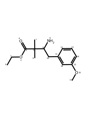 CCOC(=O)C(C)(C)C(N)Cc1cccc(OC)c1